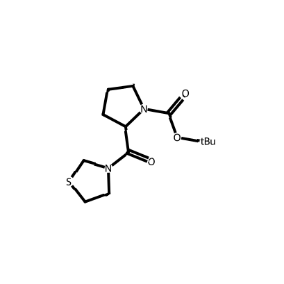 CC(C)(C)OC(=O)N1CCCC1C(=O)N1CCSC1